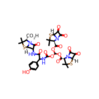 CC1(C)S[C@@H]2C(=O)C(=O)N2[C@H]1C(=O)OC(OC(=O)NC(C(=O)NC1C(=O)N2[C@@H]1SC(C)(C)[C@@H]2C(=O)O)c1ccc(O)cc1)OC(=O)[C@@H]1N2C(=O)C(=O)[C@H]2SC1(C)C